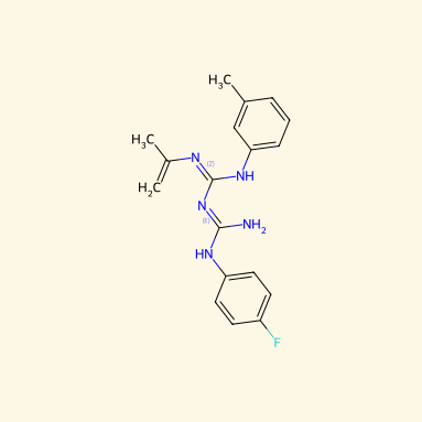 C=C(C)/N=C(\N=C(/N)Nc1ccc(F)cc1)Nc1cccc(C)c1